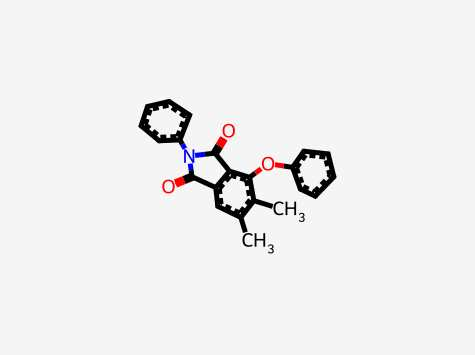 Cc1cc2c(c(Oc3ccccc3)c1C)C(=O)N(c1ccccc1)C2=O